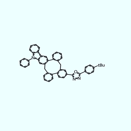 CC(C)(C)c1ccc(-c2nnc(-c3ccc4c(c3)Cc3ccccc3-c3cc5c6ccccc6n(-c6ccccc6)c5cc3Cc3ccccc3-4)o2)cc1